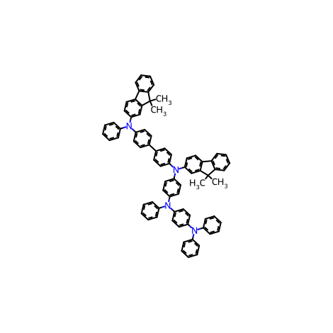 CC1(C)c2ccccc2-c2ccc(N(c3ccccc3)c3ccc(-c4ccc(N(c5ccc(N(c6ccccc6)c6ccc(N(c7ccccc7)c7ccccc7)cc6)cc5)c5ccc6c(c5)C(C)(C)c5ccccc5-6)cc4)cc3)cc21